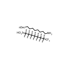 CCCCCCCCCCCCCCCCCCN.O=S(=O)(O)C(F)(F)C(F)(F)C(F)(F)C(F)(F)C(F)(F)C(F)(F)C(F)(F)C(F)(F)F